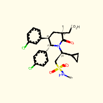 CC(C)NS(=O)(=O)C[C@H](C1CC1)N1C(=O)[C@](C)(CC(=O)O)C[C@H](c2cccc(Cl)c2)[C@H]1c1ccc(Cl)cc1